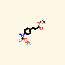 CN(C(=O)OC(C)(C)C)c1ccc(C=CC(=O)OC(C)(C)C)cc1